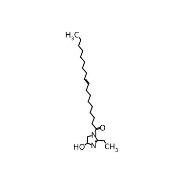 CCCCCCCCC=CCCCCCCCC(=O)N1CC(O)N=C1CC